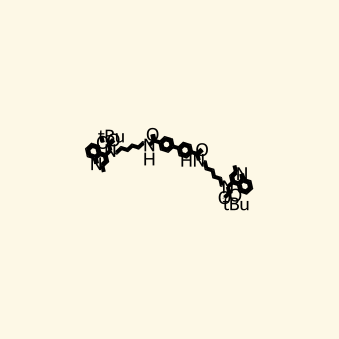 Cc1cc(N(CCCCCCNC(=O)c2ccc(-c3ccc(C(=O)NCCCCCCN(C(=O)OC(C)(C)C)c4cc(C)nc5ccccc45)cc3)cc2)C(=O)OC(C)(C)C)c2ccccc2n1